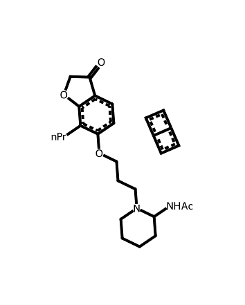 CCCc1c(OCCCN2CCCCC2NC(C)=O)ccc2c1OCC2=O.c1cc2ccc1-2